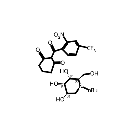 CCCCN1C[C@H](O)[C@@H](O)[C@H](O)[C@H]1CO.O=C1CCCC(=O)C1C(=O)c1ccc(C(F)(F)F)cc1[N+](=O)[O-]